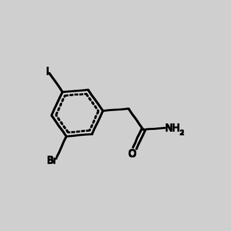 NC(=O)Cc1cc(Br)cc(I)c1